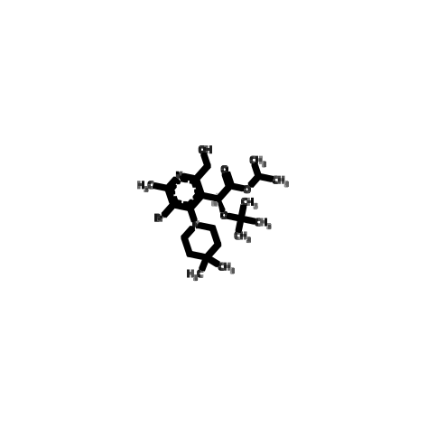 Cc1nc(CO)c([C@H](OC(C)(C)C)C(=O)OC(C)C)c(N2CCC(C)(C)CC2)c1Br